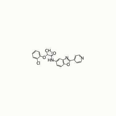 CC(Oc1ccccc1Cl)C(=O)Nc1ccc2oc(-c3ccncc3)nc2c1